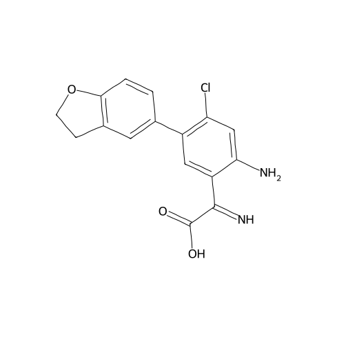 N=C(C(=O)O)c1cc(-c2ccc3c(c2)CCO3)c(Cl)cc1N